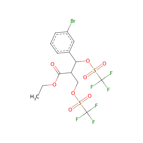 CCOC(=O)C(COS(=O)(=O)C(F)(F)F)C(OS(=O)(=O)C(F)(F)F)c1cccc(Br)c1